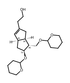 OCCC1=C[C@@H]2C[C@H](OC3CCCCO3)[C@@H](COC3CCCCO3)[C@@H]2C1